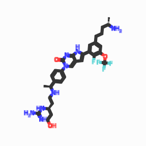 C[C@H](N)CCCc1cc(OC(F)(F)F)c(F)c(-c2cc3cn(-c4ccc([C@H](C)NCC[C@@H](CCO)NC(=N)N)cc4)c(=O)nc3[nH]2)c1